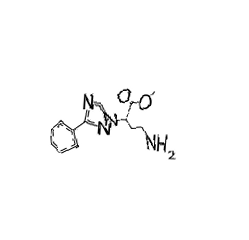 COC(=O)C(CCN)n1cnc(-c2ccccc2)n1